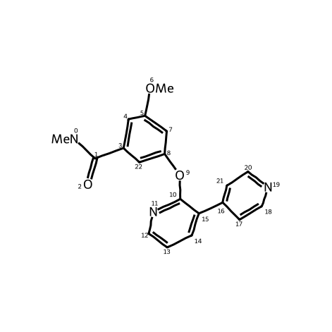 CNC(=O)c1cc(OC)cc(Oc2ncccc2-c2ccncc2)c1